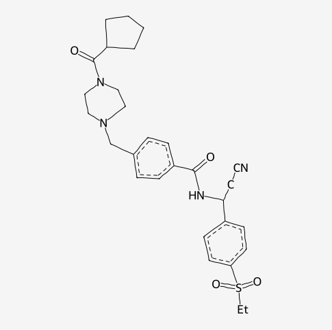 CCS(=O)(=O)c1ccc(C(CC#N)NC(=O)c2ccc(CN3CCN(C(=O)C4CCCC4)CC3)cc2)cc1